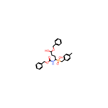 Cc1ccc(CP(=O)(O)C(CCC(O)OCc2ccccc2)NC(=O)OCc2ccccc2)cc1